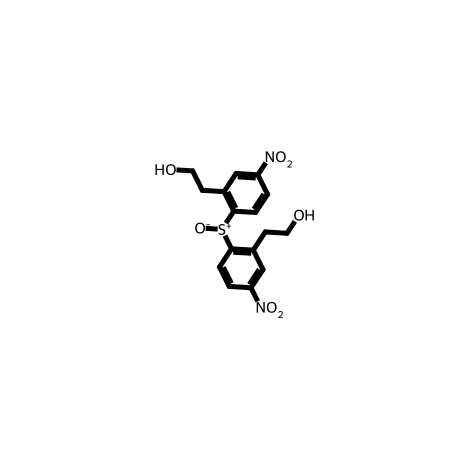 O=[N+]([O-])c1ccc([S+]([O-])c2ccc([N+](=O)[O-])cc2CCO)c(CCO)c1